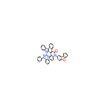 O=c1c2c3ccccc3c3c4ccccc4n(-c4nc(-c5ccccc5)c5ccccc5n4)c3c2c2ccccc2n1-c1ccc2oc3ccccc3c2c1